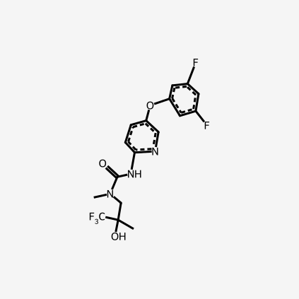 CN(CC(C)(O)C(F)(F)F)C(=O)Nc1ccc(Oc2cc(F)cc(F)c2)cn1